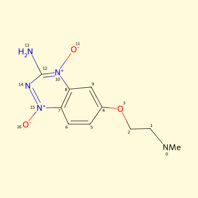 CNCCOc1ccc2c(c1)[n+]([O-])c(N)n[n+]2[O-]